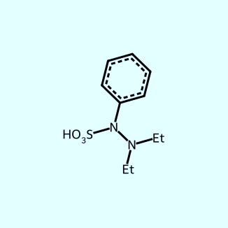 CCN(CC)N(c1ccccc1)S(=O)(=O)O